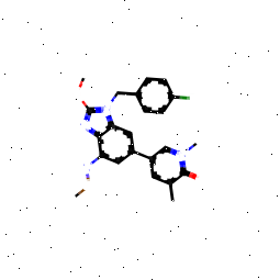 COc1nc2c(NSC)cc(-c3cc(C)c(=O)n(C)c3)cc2n1Cc1ccc(F)cc1